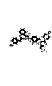 CCC(=O)N[C@H](Cc1ccc(NC(=O)[C@@H](NC(=O)Cc2cccc(O)c2)C2CCCCC2)c(F)c1)C(=O)N1CCN(C)CC1